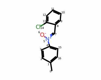 Cc1ccc([N+]([O-])=Cc2ccccc2Cl)cc1